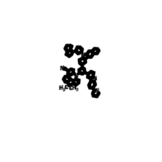 CC1(C)c2ccccc2-c2c(N(c3ccc(C#N)cc3)c3cc(-c4ccc5sc6cc(-c7ccccn7)ccc6c5c4)cc(-c4ccc5c(c4)c4cc6ccccc6cc4n5-c4cccc(-c5cccc6ccccc56)c4)c3)cccc21